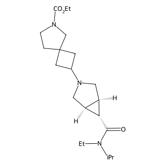 CCOC(=O)N1CCC2(CC(N3C[C@@H]4[C@H](C3)[C@H]4C(=O)N(CC)C(C)C)C2)C1